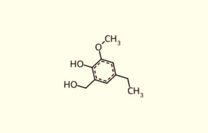 CCc1cc(CO)c(O)c(OC)c1